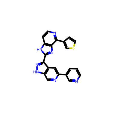 c1cncc(-c2cc3c(-c4nc5c(-c6ccsc6)nccc5[nH]4)n[nH]c3cn2)c1